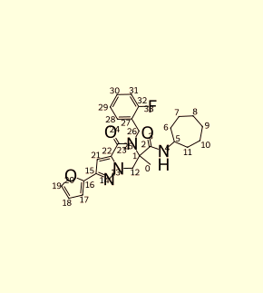 CC1(C(=O)NC2CCCCCC2)Cn2nc(-c3ccco3)cc2C(=O)N1Cc1ccccc1F